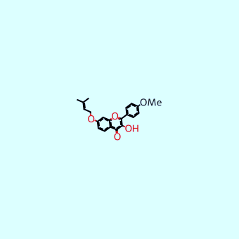 COc1ccc(-c2oc3cc(OCC=C(C)C)ccc3c(=O)c2O)cc1